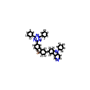 c1ccc(-c2nc(-c3ccccc3)nc(-c3ccc4sc5ccc(-c6ccc7c(c6)c6cnccc6n7-c6ccccc6)cc5c4c3)n2)cc1